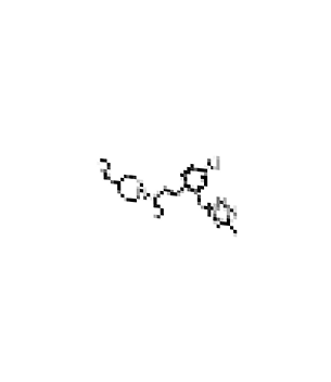 Cc1nnn(Cc2cc(Cl)ccc2C=CC(=O)N2CCC(C=O)CC2)n1